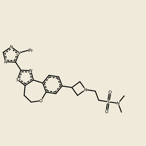 CC(C)n1ncnc1-c1nc2c(s1)CCOc1cc(C3CN(CCS(=O)(=O)N(C)C)C3)ccc1-2